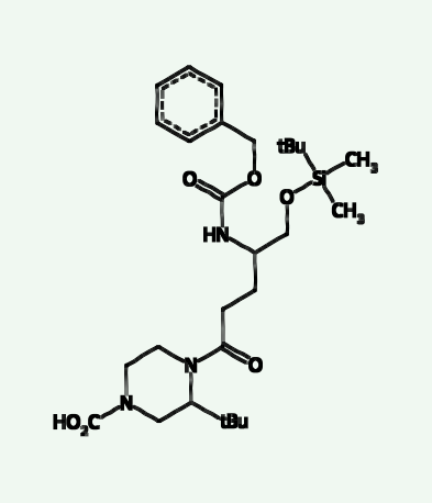 CC(C)(C)C1CN(C(=O)O)CCN1C(=O)CCC(CO[Si](C)(C)C(C)(C)C)NC(=O)OCc1ccccc1